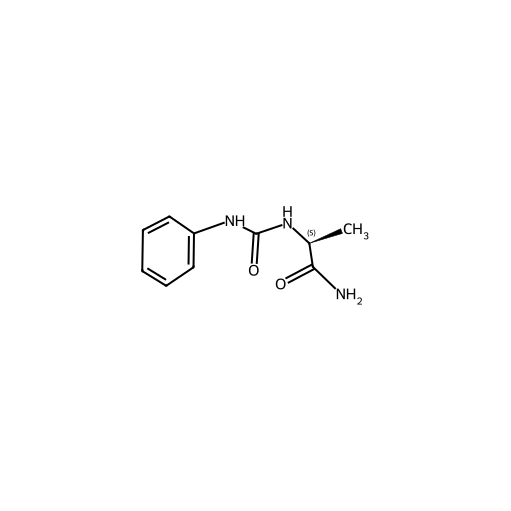 C[C@H](NC(=O)Nc1ccccc1)C(N)=O